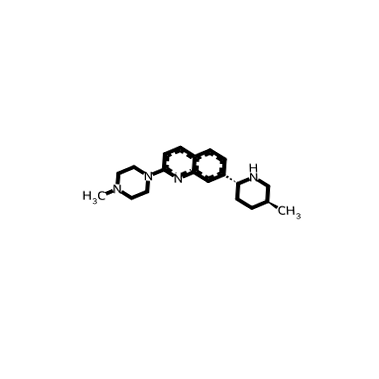 C[C@H]1CC[C@H](c2ccc3ccc(N4CCN(C)CC4)nc3c2)NC1